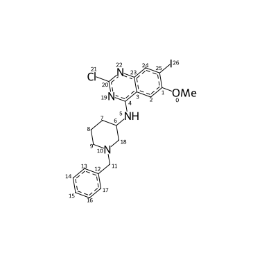 COc1cc2c(NC3CCCN(Cc4ccccc4)C3)nc(Cl)nc2cc1I